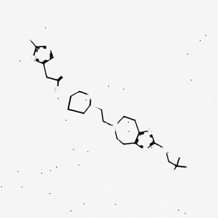 Cc1nc(CC(=O)N[C@H]2CC[C@H](CCN3CCc4nc(OCC(F)(F)F)sc4CC3)OC2)cs1